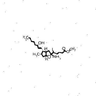 CCCCC[C@H](O)/C=C/[C@@H]1[C@H]2CC(N)(C(I)CCCC(=O)OC)O[C@H]2C[C@H]1C